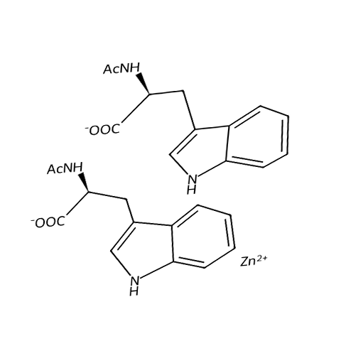 CC(=O)N[C@@H](Cc1c[nH]c2ccccc12)C(=O)[O-].CC(=O)N[C@@H](Cc1c[nH]c2ccccc12)C(=O)[O-].[Zn+2]